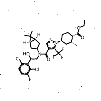 CCOC(=O)[C@H]1CC[C@H](n2ncc(C(=O)N(CC(O)c3c(Cl)ccc(F)c3Cl)[C@H]3C[C@@H]4[C@H](C3)C4(C)C)c2C(F)(F)F)C[C@H]1C